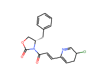 O=C(/C=C/C1=CCC(Cl)C=N1)N1C(=O)OC[C@@H]1Cc1ccccc1